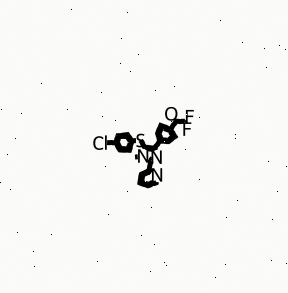 Cn1c(-c2ccccn2)nc(-c2ccc(C(=O)C(F)F)cc2)c1Sc1ccc(Cl)cc1